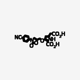 N#Cc1ccc(N2CC(COc3cc(CC(=O)O)[nH]c3C(=O)O)OC2=O)cc1